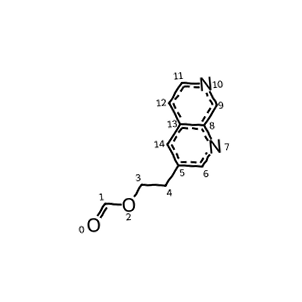 O=COCCc1cnc2cnccc2c1